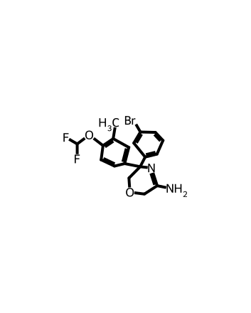 Cc1cc(C2(c3cccc(Br)c3)COCC(N)=N2)ccc1OC(F)F